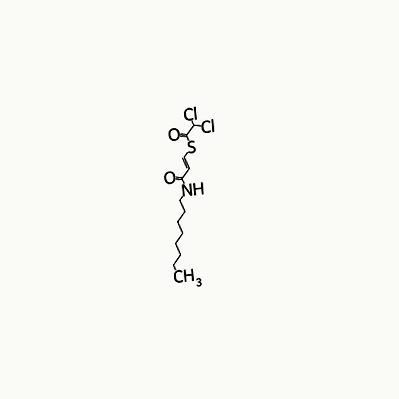 CCCCCCCCNC(=O)C=CSC(=O)C(Cl)Cl